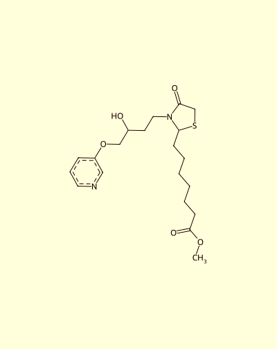 COC(=O)CCCCCCC1SCC(=O)N1CCC(O)COc1cccnc1